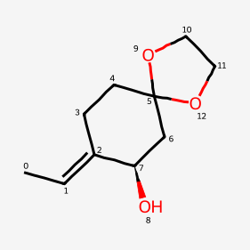 C/C=C1\CCC2(C[C@H]1O)OCCO2